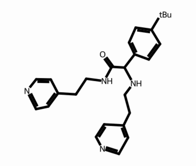 CC(C)(C)c1ccc(C(NCCc2ccncc2)C(=O)NCCc2ccncc2)cc1